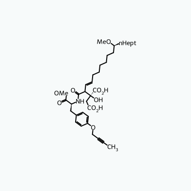 CC#CCOc1ccc(C[C@H](NC(=O)C(/C=C/CCCCCC[C@H](CCCCCCC)OC)[C@@](O)(CC(=O)O)C(=O)O)C(=O)OC)cc1